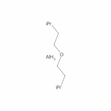 CC(C)CCOCCC(C)C.[AlH3]